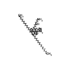 CCCCCCCCCCCCCCCCCCN(CCCCCCCCCCCCCCCCCC)C(=O)C(CC(=O)O)NC(=O)[C@@H](CCCNCCCN)NCCCN